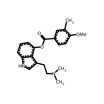 COc1ccc(C(=O)Oc2cccc3[nH]cc(CCN(C)C)c23)cc1C